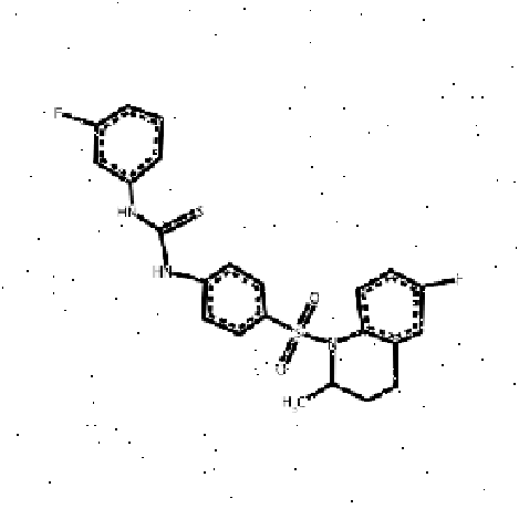 CC1CCc2cc(F)ccc2N1S(=O)(=O)c1ccc(NC(=S)Nc2cccc(F)c2)cc1